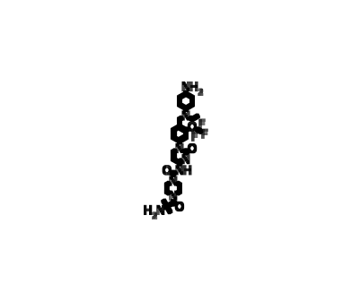 CCN(Cc1ccc(-n2ccc(NC(=O)N3CCN(C(=O)C(C)(C)N)CC3)nc2=O)cc1OC(F)(F)F)C1CCC(N)CC1